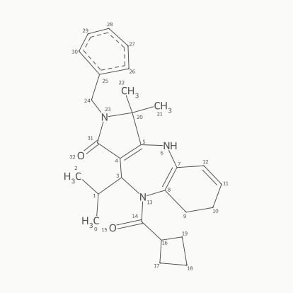 CC(C)C1C2=C(NC3=C(CCC=C3)N1C(=O)C1CCC1)C(C)(C)N(Cc1ccccc1)C2=O